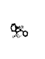 O=[N+]([O-])c1c(-c2ccccc2)[nH]c2ccccc12